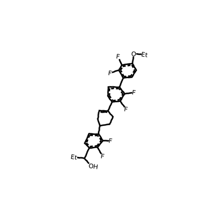 CCOc1ccc(-c2ccc(C3=CCC(c4ccc(C(O)CC)c(F)c4F)CC3)c(F)c2F)c(F)c1F